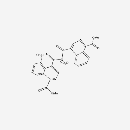 COC(=O)c1ccc(C(=O)OC(=O)c2ccc(C(=O)OC)c3cccc(C(=O)O)c23)c2c(C(=O)O)cccc12